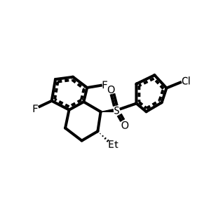 CC[C@@H]1CCc2c(F)ccc(F)c2[C@H]1S(=O)(=O)c1ccc(Cl)cc1